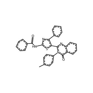 Cc1ccc(-n2c(-c3sc(NC(=O)c4ccccc4)nc3-c3ccccc3)nc3ccccc3c2=O)cc1